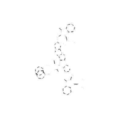 N#CC(C#N)=C1/C(=N/c2cc3c(s2)-c2sc4c(sc5cc(/N=C6/C(=O)c7ccccc7C6=C(C#N)C#N)sc54)c2C3(C(=O)OCc2ccccc2)C(=O)OCc2ccccc2)C(=O)c2ccccc21